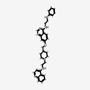 c1ccc(NCCNc2ncnc3cc(OCC4CCN(CCNc5ccnc6ccccc56)CC4)ccc23)cc1